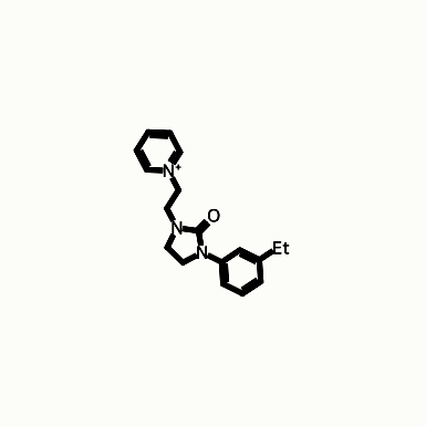 CCc1cccc(N2CCN(CC[n+]3ccccc3)C2=O)c1